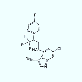 N#Cc1cnc2cc(Cl)cc([AsH]CC(c3ccc(F)cn3)C(F)(F)F)n12